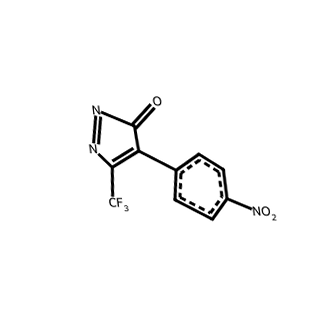 O=C1N=NC(C(F)(F)F)=C1c1ccc([N+](=O)[O-])cc1